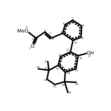 COC(=O)/C=C/c1ccccc1-c1cc2c(cc1O)C(C)(C)CCC2(C)C